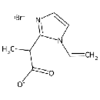 C=Cn1ccnc1C(C)C(=O)[O-].[Br+]